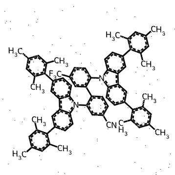 Cc1cc(C)c(-c2ccc3c(c2)c2cc(-c4c(C)cc(C)cc4C)ccc2n3-c2ccc(C(F)(F)F)cc2-c2ccc(C#N)cc2-n2c3ccc(-c4c(C)cc(C)cc4C)cc3c3cc(-c4c(C)cc(C)cc4C)ccc32)c(C)c1